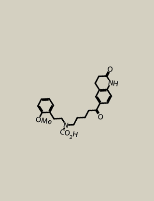 COc1ccccc1CCN(CCCCC(=O)c1ccc2c(c1)CCC(=O)N2)C(=O)O